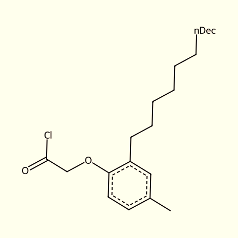 CCCCCCCCCCCCCCCCc1cc(C)ccc1OCC(=O)Cl